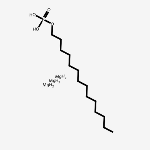 CCCCCCCCCCCCCCOP(=O)(O)O.[MgH2].[MgH2].[MgH2]